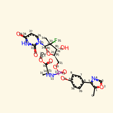 Cc1ocnc1-c1ccc(OP(=O)(N[C@@H](C)C(=O)OC(C)C)OC[C@H]2O[C@@H](n3ccc(=O)[nH]c3=O)[C@](C)(F)[C@@H]2O)cc1